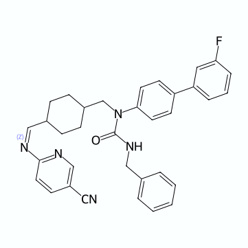 N#Cc1ccc(/N=C\C2CCC(CN(C(=O)NCc3ccccc3)c3ccc(-c4cccc(F)c4)cc3)CC2)nc1